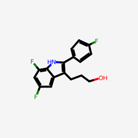 OCCCc1c(-c2ccc(F)cc2)[nH]c2c(F)cc(F)cc12